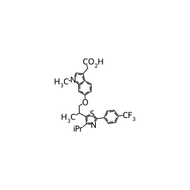 CC(C)c1nc(-c2ccc(C(F)(F)F)cc2)sc1C(C)COc1ccc2c(CC(=O)O)cn(C)c2c1